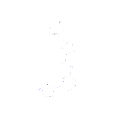 CCC(Nc1nccc(N2C(=O)NCC2C(C)C)n1)c1cn(-c2ccc(Cl)cc2)cn1